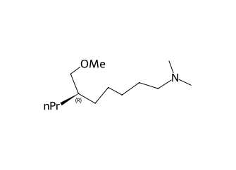 CCC[C@H](CCCCCN(C)C)COC